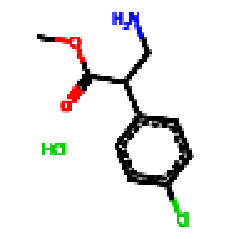 COC(=O)C(CN)c1ccc(Cl)cc1.Cl